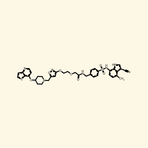 Cc1ccc(NS(=O)(=O)c2ccc(CNC(=O)COCCOc3cc(CN4CCC(Oc5ccnc6ccsc56)CC4)on3)cc2)c2[nH]cc(C#N)c12